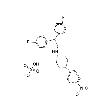 O=S(=O)(O)O.O=[N+]([O-])c1ccc(C2CCC(NCC(c3ccc(F)cc3)c3ccc(F)cc3)CC2)cc1